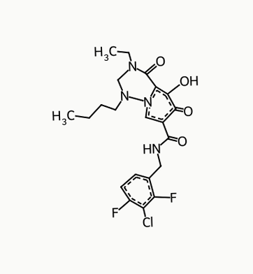 CCCCN1CN(CC)C(=O)c2c(O)c(=O)c(C(=O)NCc3ccc(F)c(Cl)c3F)cn21